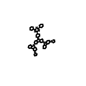 c1ccc(-c2nc(-c3ccccc3)nc(-c3ccc(-n4c5ccc(-n6c7ccccc7c7cc(-n8cccc8)ccc76)cc5c5cc(-n6c7ccccc7c7cc(-n8cccc8)ccc76)ccc54)cc3)n2)cc1